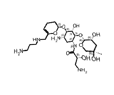 C[C@]1(O)CO[C@H](O[C@@H]2[C@@H](O)[C@H](O[C@@H]3CCC=C(CNCCCN)O3)[C@@H](N)C[C@H]2NC(=O)[C@H](O)CN)[C@H](O)C1